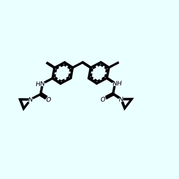 Cc1cc(Cc2ccc(NC(=O)N3CC3)c(C)c2)ccc1NC(=O)N1CC1